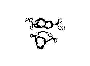 O=C(O)c1ccc2c3c(C(=O)O)c(cc2c1)CC3.O=C1OCCOC(=O)c2ccc1cc2